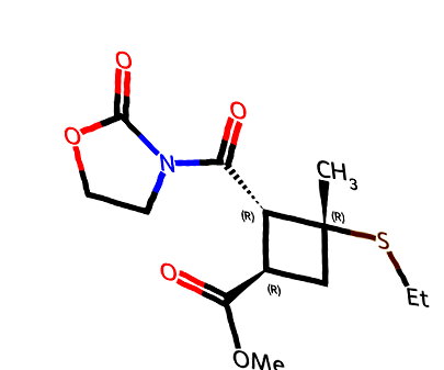 CCS[C@]1(C)C[C@@H](C(=O)OC)[C@@H]1C(=O)N1CCOC1=O